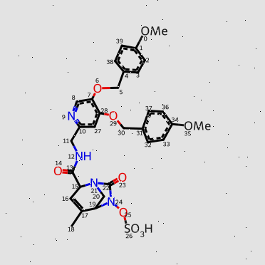 COc1ccc(COc2cnc(CNC(=O)C3C=C(C)C4CN3C(=O)N4OS(=O)(=O)O)cc2OCc2ccc(OC)cc2)cc1